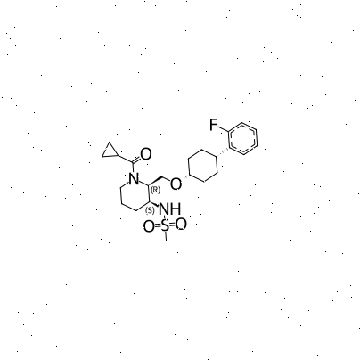 CS(=O)(=O)N[C@H]1CCCN(C(=O)C2CC2)[C@H]1CO[C@H]1CC[C@@H](c2ccccc2F)CC1